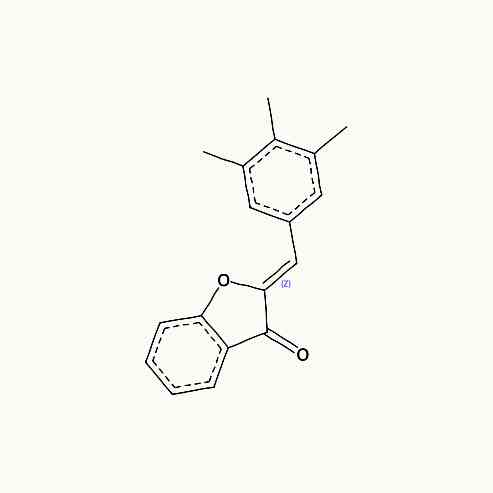 Cc1cc(/C=C2\Oc3ccccc3C2=O)cc(C)c1C